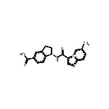 Cc1ccc2ncc(C(=O)N[C@@H]3CCc4cc(C(=O)O)ccc43)n2c1